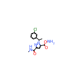 CNC(=O)c1cc(C(=O)ON)n(C(C)c2cccc(Cl)c2)n1